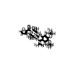 [2H]N([2H])c1nc(N2C([2H])([2H])C([2H])([2H])N(C(=O)c3ccco3)C([2H])([2H])C2([2H])[2H])nc2cc(OC([2H])([2H])[2H])c(OC([2H])([2H])[2H])cc12